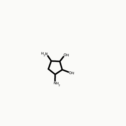 NC1CC(N)C(O)C1O